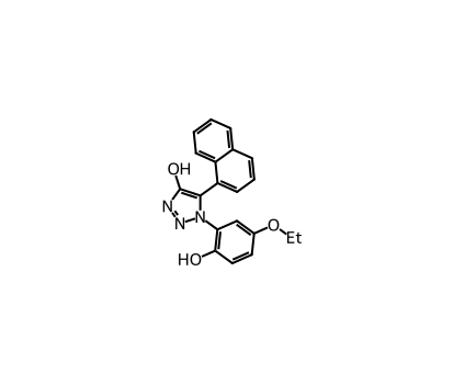 CCOc1ccc(O)c(-n2nnc(O)c2-c2cccc3ccccc23)c1